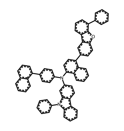 c1ccc(-c2cccc3c2oc2ccc(-c4ccc(N(c5ccc(-c6cccc7ccccc67)cc5)c5ccc6c7ccccc7n(-c7ccccc7)c6c5)c5ccccc45)cc23)cc1